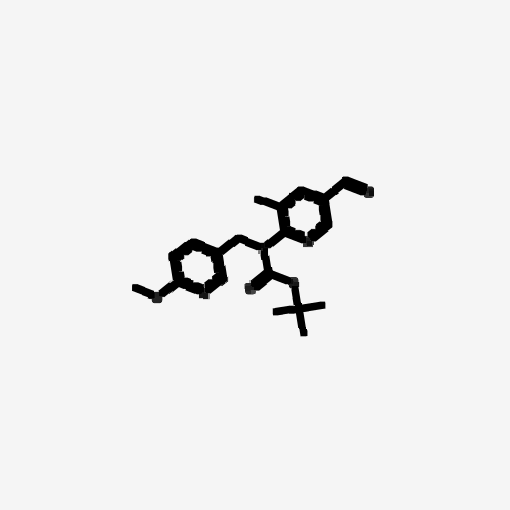 COc1ccc(CN(C(=O)OC(C)(C)C)c2ncc(C=O)cc2C)cn1